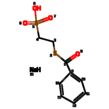 O=C(SCCS(=O)(=O)O)c1ccccc1.[NaH]